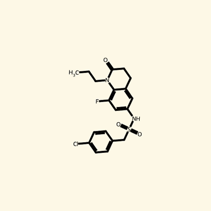 CCCN1C(=O)CCc2cc(NS(=O)(=O)Cc3ccc(Cl)cc3)cc(F)c21